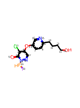 O=c1c(Cl)c(Oc2ccc(CCCCO)nc2)cnn1PI